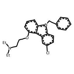 CCN(CC)CCOc1cccc2c1c1cc(Cl)ccc1n2Cc1ccccc1